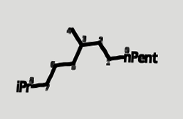 CCCCCCCC(C)CCCC(C)C